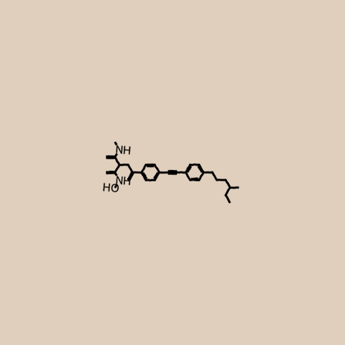 C=C(CC(C(=C)NC)C(=C)NO)c1ccc(C#Cc2ccc(CCCC(C)CC)cc2)cc1